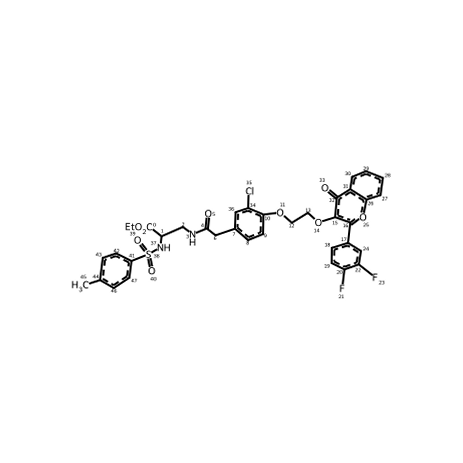 CCOC(=O)C(CNC(=O)Cc1ccc(OCCOc2c(-c3ccc(F)c(F)c3)oc3ccccc3c2=O)c(Cl)c1)NS(=O)(=O)c1ccc(C)cc1